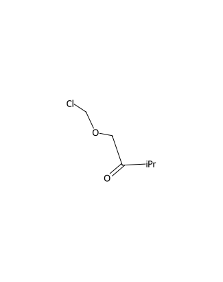 CC(C)C(=O)COCCl